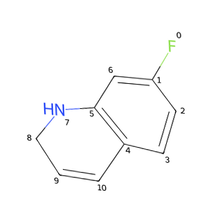 Fc1ccc2c(c1)NCC=C2